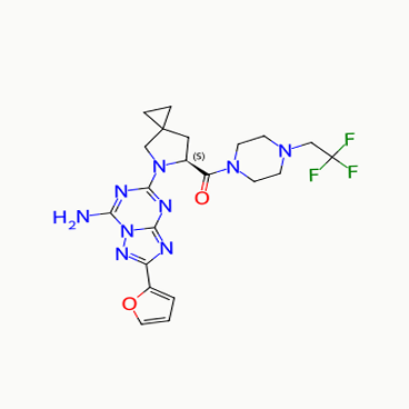 Nc1nc(N2CC3(CC3)C[C@H]2C(=O)N2CCN(CC(F)(F)F)CC2)nc2nc(-c3ccco3)nn12